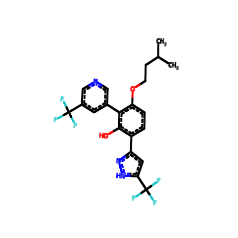 CC(C)CCOc1ccc(-c2cc(C(F)(F)F)[nH]n2)c(O)c1-c1cncc(C(F)(F)F)c1